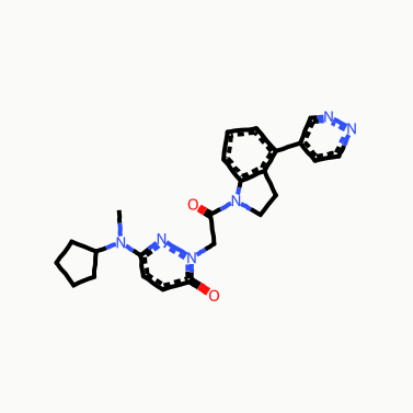 CN(c1ccc(=O)n(CC(=O)N2CCc3c(-c4ccnnc4)cccc32)n1)C1CCCC1